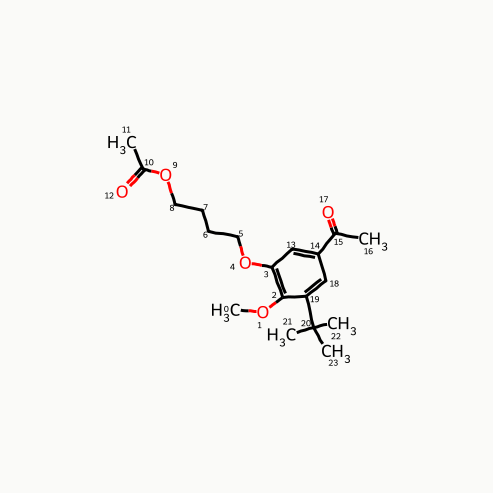 COc1c(OCCCCOC(C)=O)cc(C(C)=O)cc1C(C)(C)C